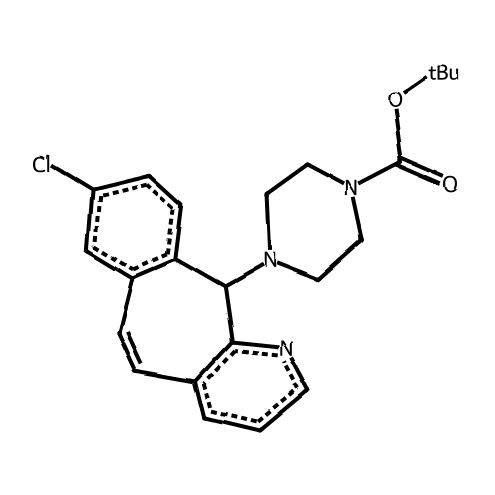 CC(C)(C)OC(=O)N1CCN(C2c3ccc(Cl)cc3C=Cc3cccnc32)CC1